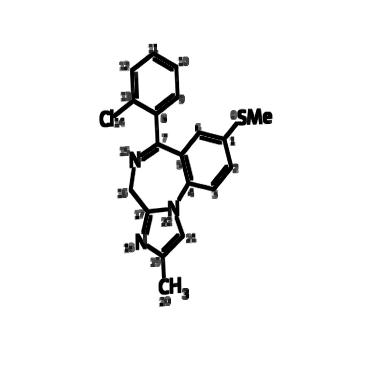 CSc1ccc2c(c1)C(c1ccccc1Cl)=NCc1nc(C)cn1-2